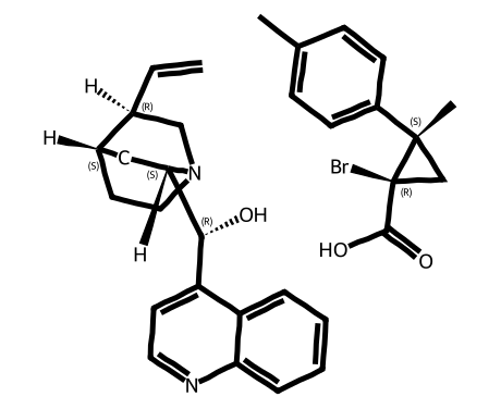 C=C[C@H]1CN2CC[C@H]1C[C@H]2[C@H](O)c1ccnc2ccccc12.Cc1ccc([C@]2(C)C[C@]2(Br)C(=O)O)cc1